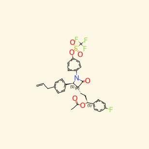 C=CCc1ccc([C@@H]2[C@@H](CC[C@H](OC(C)=O)c3ccc(F)cc3)C(=O)N2c2ccc(OS(=O)(=O)C(F)(F)F)cc2)cc1